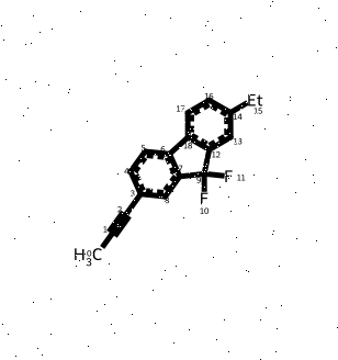 CC#Cc1ccc2c(c1)C(F)(F)c1cc(CC)ccc1-2